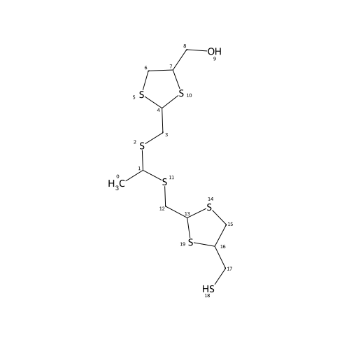 CC(SCC1SCC(CO)S1)SCC1SCC(CS)S1